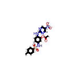 CC(=O)Oc1cc(NS(=O)(=O)c2ccc(C)cc2)ccc1Nc1ncc([N+](=O)[O-])cn1